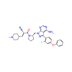 CN1CCC(/C=C(\C#N)C(=O)N2CCC[C@@H]2Cn2nc(-c3ccc(Oc4ccccc4)cc3F)c3c(N)ncnc32)CC1